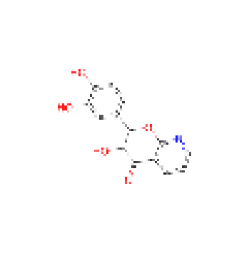 O=C1c2cccnc2OC(c2ccc(O)c(O)c2)C1O